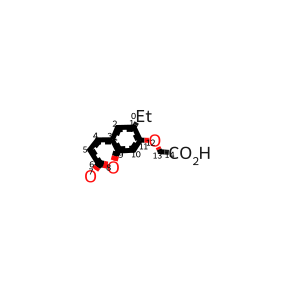 CCc1cc2ccc(=O)oc2cc1OCC(=O)O